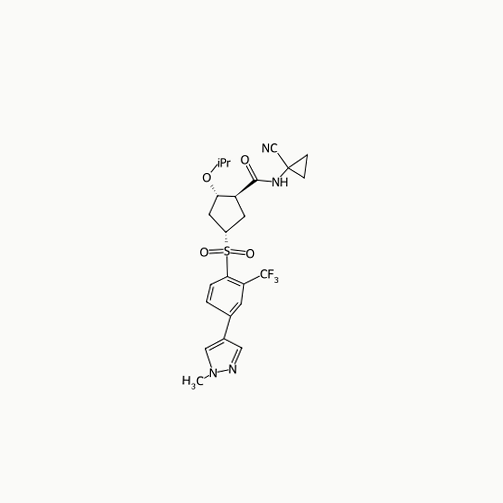 CC(C)O[C@H]1C[C@@H](S(=O)(=O)c2ccc(-c3cnn(C)c3)cc2C(F)(F)F)C[C@@H]1C(=O)NC1(C#N)CC1